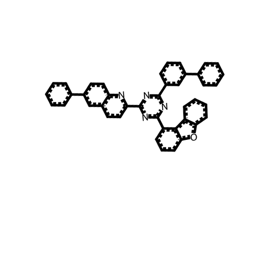 c1ccc(-c2cccc(-c3nc(-c4ccc5cc(-c6ccccc6)ccc5n4)nc(-c4cccc5oc6ccccc6c45)n3)c2)cc1